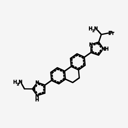 CC(C)C(N)c1nc(-c2ccc3c(c2)CCc2cc(-c4c[nH]c(CN)n4)ccc2-3)c[nH]1